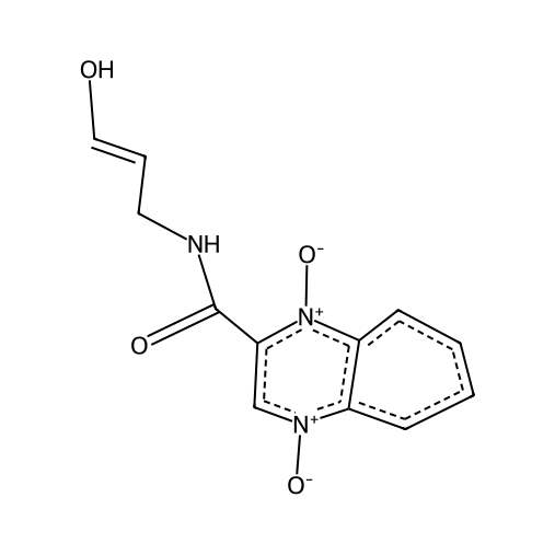 O=C(NCC=CO)c1c[n+]([O-])c2ccccc2[n+]1[O-]